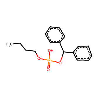 CCCCOP(=O)(O)OC(c1ccccc1)c1ccccc1